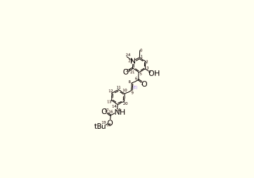 Cc1cc(O)c(C(=O)/C=C/c2cccc(NC(=O)OC(C)(C)C)c2)c(=O)n1C